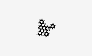 c1ccc(-c2cc(-c3nc4ccccc4c4cnc5c(ccc6cccnc65)c34)cc(-c3ccccc3)n2)cc1